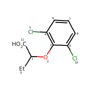 CCC(Oc1c(Cl)cccc1Cl)C(=O)O